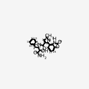 Cn1cc(C(=O)NC(Cc2ccccc2)C(O)C(N)=O)c(-c2cccc3oc(=O)[nH]c23)n1